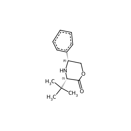 CC(C)(C)[C@@H]1N[C@H](c2ccccc2)COC1=O